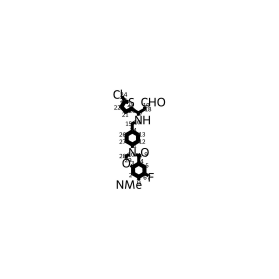 CNc1cc2c(cc1F)C(=O)N(c1ccc(CNC(CC=O)c3ccc(Cl)s3)cc1)CO2